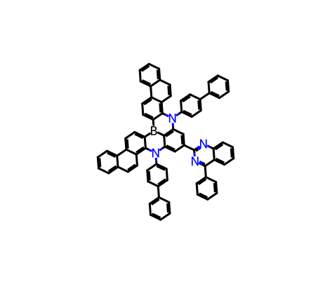 c1ccc(-c2ccc(N3c4cc(-c5nc(-c6ccccc6)c6ccccc6n5)cc5c4B(c4ccc6c(ccc7ccccc76)c43)c3ccc4c(ccc6ccccc64)c3N5c3ccc(-c4ccccc4)cc3)cc2)cc1